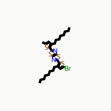 CCCCCCCCc1cc(C)sc1-c1nc2sc(-c3sc(Br)cc3CCCCCCCC)nc2s1